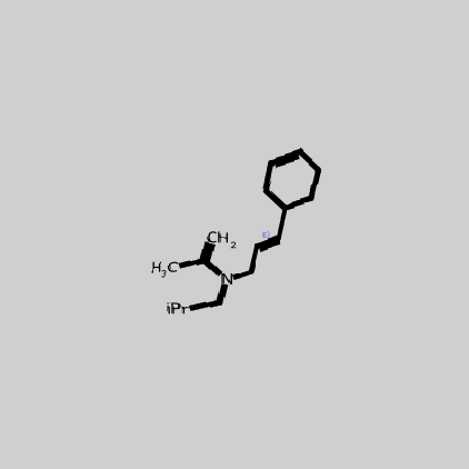 C=C(C)N(C/C=C/C1CC=CCC1)CC(C)C